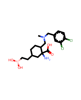 CN(Cc1ccc(Cl)c(Cl)c1)CC1CCC(CCB(O)O)CC1(N)C(=O)O